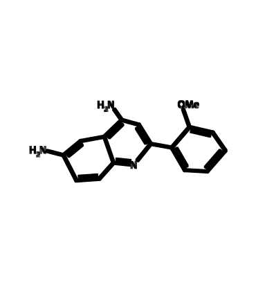 COc1ccccc1-c1cc(N)c2cc(N)ccc2n1